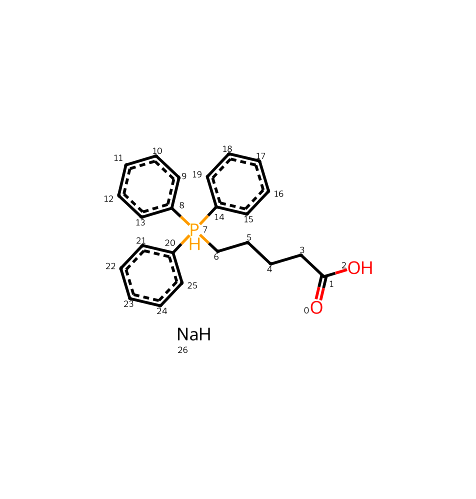 O=C(O)CCCC[PH](c1ccccc1)(c1ccccc1)c1ccccc1.[NaH]